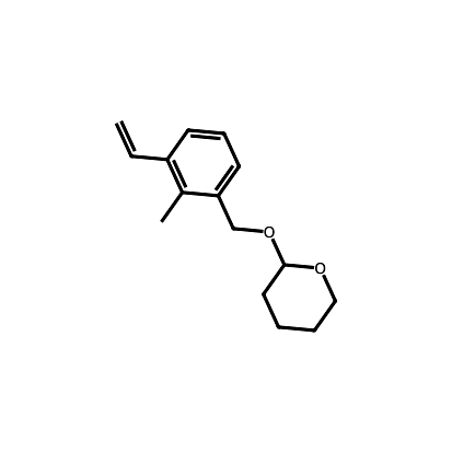 C=Cc1cccc(COC2CCCCO2)c1C